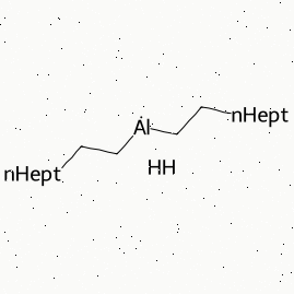 CCCCCCCC[CH2][Al][CH2]CCCCCCCC.[HH]